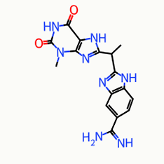 CC(c1nc2cc(C(=N)N)ccc2[nH]1)c1nc2c([nH]1)c(=O)[nH]c(=O)n2C